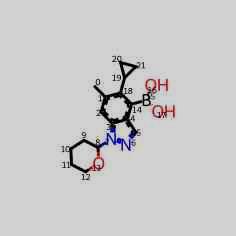 Cc1cc2c(cnn2C2CCCCO2)c(B(O)O)c1C1CC1